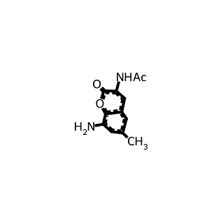 CC(=O)Nc1cc2cc(C)cc(N)c2oc1=O